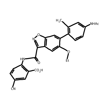 CCOc1cc2c(C(=O)Nc3ccc(C#N)cc3C(=O)O)noc2cc1-c1ccc(NC(C)=O)cc1C